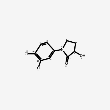 O=C1C(O)CCN1c1ccc(Cl)c(Cl)c1